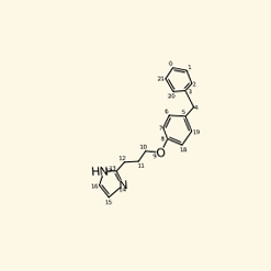 c1ccc(Cc2ccc(OCCCc3ncc[nH]3)cc2)cc1